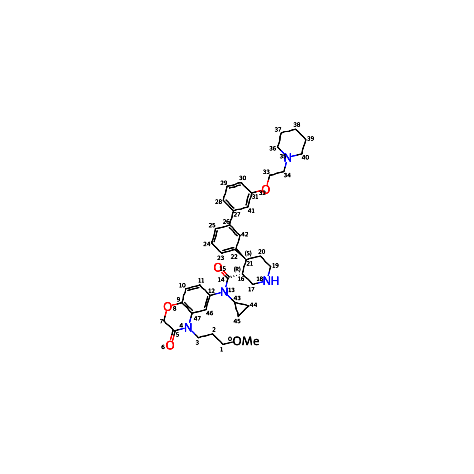 COCCCN1C(=O)COc2ccc(N(C(=O)[C@H]3CNCC[C@@H]3c3cccc(-c4cccc(OCCN5CCCCC5)c4)c3)C3CC3)cc21